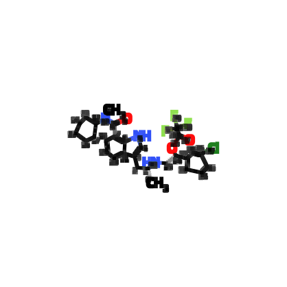 C[C@H](Cc1c[nH]c2c(C(=O)N(C)C3CCCCC3)cccc12)NC[C@H](OC(=O)C(F)(F)F)c1cccc(Cl)c1